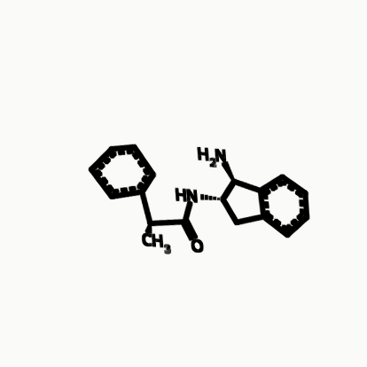 C[C@H](C(=O)N[C@H]1Cc2ccccc2[C@@H]1N)c1ccccc1